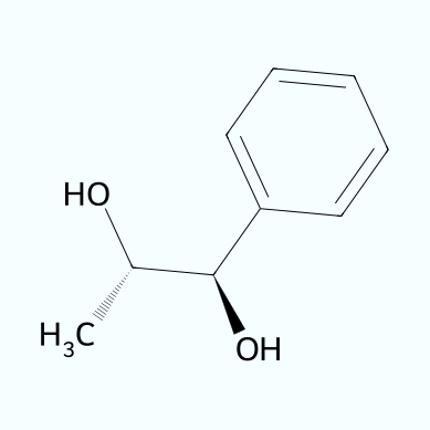 C[C@H](O)[C@H](O)c1ccccc1